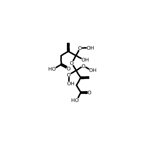 C=C(CC(=O)O)C(O)(OO)OC(OO)(OO)C(=C)CC(=O)O